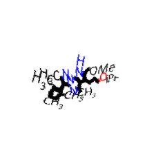 COCc1[nH]c2c(c(C)nc3c(-c4c(C)cc(C)cc4C)c(C)nn32)c1CCCOC(C)C